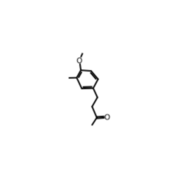 COc1ccc(CCC(C)=O)cc1C